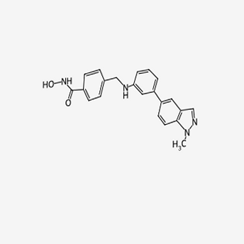 Cn1ncc2cc(-c3cccc(NCc4ccc(C(=O)NO)cc4)c3)ccc21